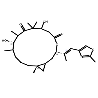 C/C(=C\c1csc(C)n1)[C@@H]1CC2C[C@]2(C)CCCC(C)[C@H](O)C(C)C(=O)C(C)(C)C(O)CC(=O)O1